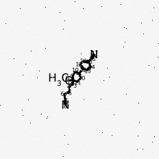 COC1(CCC=CC#N)CCC(c2ccc(C#N)cc2)CC1